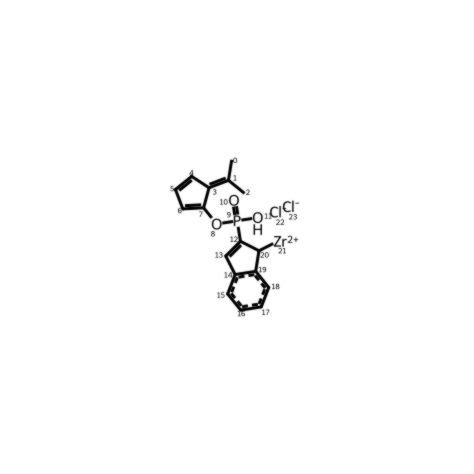 CC(C)=C1C=CC=C1OP(=O)(O)C1=Cc2ccccc2[CH]1[Zr+2].[Cl-].[Cl-]